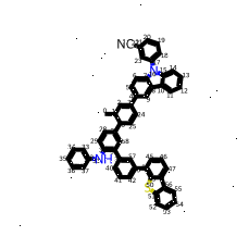 CC1C=C(c2ccc3c(c2)c2ccccc2n3-c2cccc(C#N)c2)C=CC1c1ccc(Nc2ccccc2)c(-c2cccc(-c3cccc4c3sc3ccccc34)c2)c1